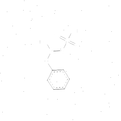 CS(=O)(=O)OB(O)Oc1ccccc1